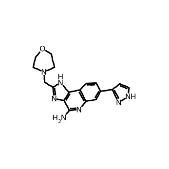 Nc1nc2cc(-c3cc[nH]n3)ccc2c2[nH]c(CN3CCOCC3)nc12